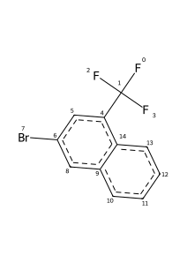 FC(F)(F)c1cc(Br)cc2ccccc12